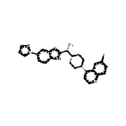 C[C@@H](c1nc2cc(-n3cccn3)ccc2[nH]1)[C@H]1CC[C@@H](c2ccnc3ccc(F)cc32)CC1